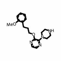 COc1ccccc1CCCOc1nccnc1N1CCNCC1